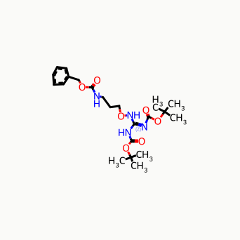 CC(C)(C)OC(=O)/N=C(\NOCCCNC(=O)OCc1ccccc1)NC(=O)OC(C)(C)C